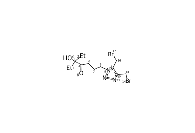 CCC(O)(CC)C(=O)CCCn1nnc(CBr)c1CBr